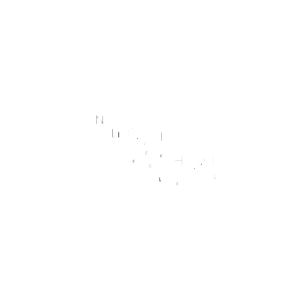 C[C@]12CCC(N3CCCC3)=CC1=CC[C@@H]1[C@@H]2CC[C@]2(C)C(=O)CC[C@@H]12